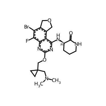 CN(C)CC1(COc2nc(N[C@@H]3CCCNC3=O)c3c4c(c(Br)c(F)c3n2)COC4)CC1